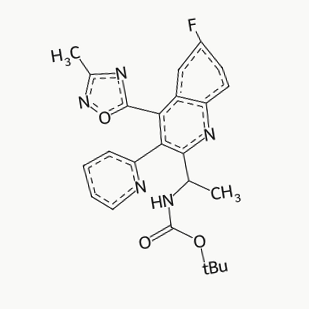 Cc1noc(-c2c(-c3ccccn3)c(C(C)NC(=O)OC(C)(C)C)nc3ccc(F)cc23)n1